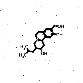 CC(C)CC1CN2CCc3cc(CO)c(O)cc3C2C[C@@H]1O